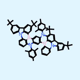 CC1=CC(C)=C(N2c3cc4c(cc3B3c5ccccc5-n5c6ccc(C(C)(C)C)cc6c6cc(C(C)(C)C)c2c3c65)N(c2c(C)cc(C)cc2C)c2cccc3c2B4c2cc(C(C)(C)C)cc4c5cc(C(C)(C)C)ccc5n-3c24)C(C)C1